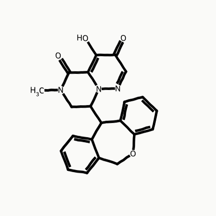 CN1CC(C2c3ccccc3COc3ccccc32)n2ncc(=O)c(O)c2C1=O